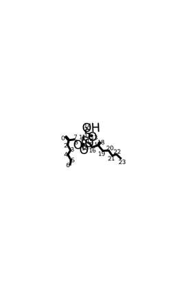 C=C(CCCCC)COP(=O)(CS(=O)O)OCC(=C)CCCCC